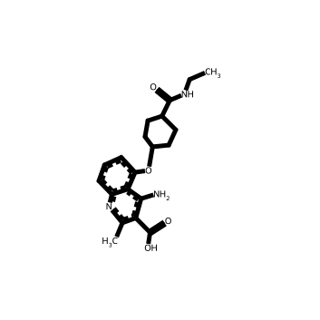 CCNC(=O)C1CCC(Oc2cccc3nc(C)c(C(=O)O)c(N)c23)CC1